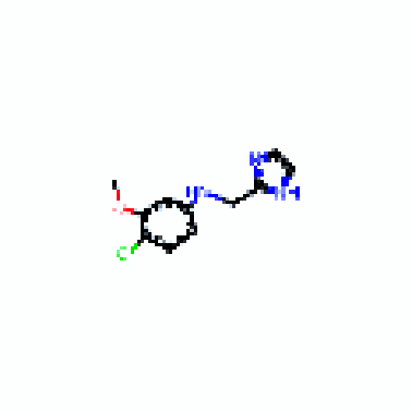 COc1cc(NCc2ncc[nH]2)ccc1Cl